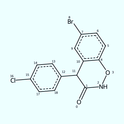 O=C1NOc2ccc(Br)cc2C1c1ccc(Cl)cc1